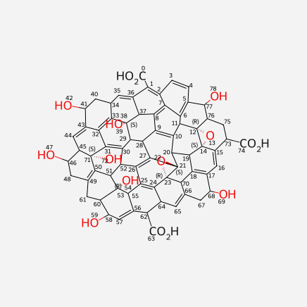 O=C(O)C1=c2ccc3c4c2=C2C5=C6C4[C@]47O[C@@]48C(=CC4=C9C8C6[C@@]68O[C@]6%10C6=C%11C%12=C8C5C5C8=C%13C%14=C%15C(C=C1C2[C@]%155O)CC(O)C%14=CC1C(O)CC2=C(C(C%128)[C@@]5(O)C%11C(=CC(O)C5C2)C(C(=O)O)C6C=C(CC4O)C9%10)[C@]%131O)C(C(=O)O)CC7C3O